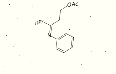 CCCC(CCOC(C)=O)=Nc1ccccc1